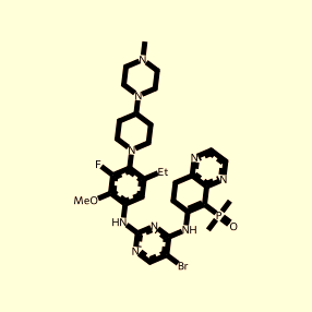 CCc1cc(Nc2ncc(Br)c(NC3=C(P(C)(C)=O)c4nccnc4CC3)n2)c(OC)c(F)c1N1CCC(N2CCN(C)CC2)CC1